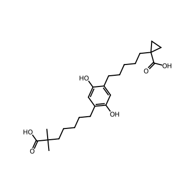 CC(C)(CCCCCc1cc(O)c(CCCCCC2(C(=O)O)CC2)cc1O)C(=O)O